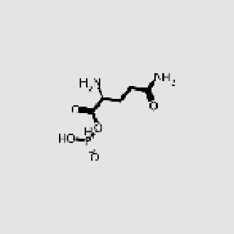 NC(=O)CC[C@H](N)C(=O)O[PH](=O)O